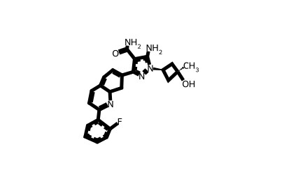 C[C@]1(O)C[C@@H](n2nc(C3=CC=C4C=CC(c5ccccc5F)=NC4C3)c(C(N)=O)c2N)C1